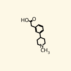 CN1CCC(c2cccc(CC(=O)O)c2)CC1